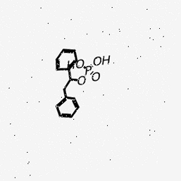 O=P(O)(O)OC(Cc1ccccc1)c1ccccc1